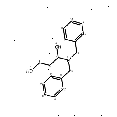 OCCC(O)N(Cc1ccccc1)Cc1ccccc1